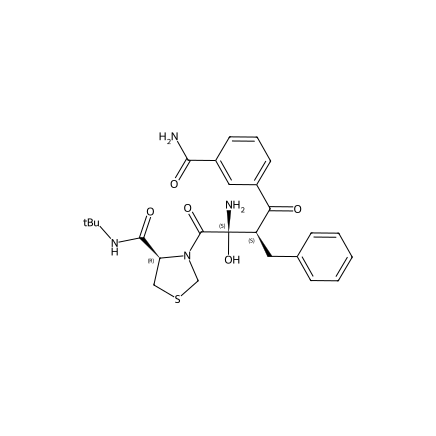 CC(C)(C)NC(=O)[C@@H]1CSCN1C(=O)[C@@](N)(O)[C@H](Cc1ccccc1)C(=O)c1cccc(C(N)=O)c1